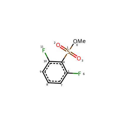 [CH2]OS(=O)(=O)c1c(F)cccc1F